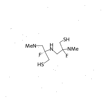 CNC[C@](F)(CS)NCC(F)(CS)NC